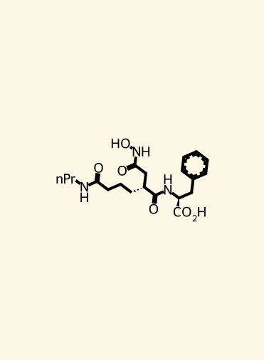 CCCNC(=O)CCC[C@H](CC(=O)NO)C(=O)N[C@@H](Cc1ccccc1)C(=O)O